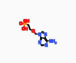 Nc1ncnc2c1ncn2COCCP(=O)(O)O